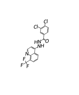 O=C(NNc1ccnc2c(C(F)(F)F)cccc12)c1ccc(Cl)c(Cl)c1